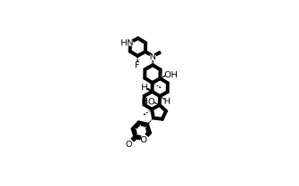 CN(C1CCNC[C@H]1F)[C@H]1CC[C@]2(C)[C@H]3CC[C@]4(C)[C@@H](c5ccc(=O)oc5)CC[C@]4(O)[C@@H]3CC[C@]2(O)C1